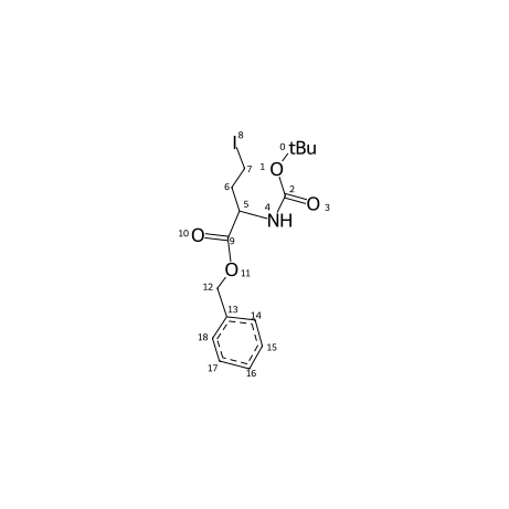 CC(C)(C)OC(=O)NC(CCI)C(=O)OCc1ccccc1